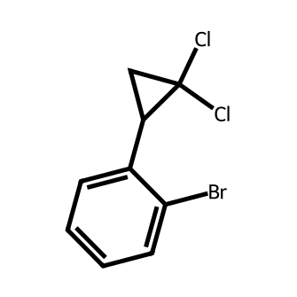 ClC1(Cl)CC1c1ccccc1Br